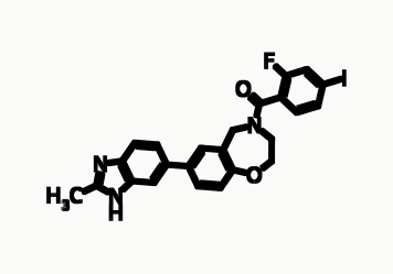 Cc1nc2ccc(-c3ccc4c(c3)CN(C(=O)c3ccc(I)cc3F)CCO4)cc2[nH]1